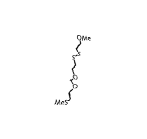 COCCSSCCOCOCCSC